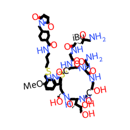 CC[C@H](C)[C@H](CC(=O)CN)C(=O)NCC(=O)N[C@H]1C[S+]([O-])c2[nH]c3c(CSCCCCNC(=O)C4CCC(CN5C(=O)C=CC5=O)CC4)c(OC)ccc3c2C[C@@H](CO)NC(=O)[C@H]([C@@H](C)[C@@H](O)CO)NC(=O)C[C@@H](O)CNC(=O)[C@H](CC(N)=O)NC1=O